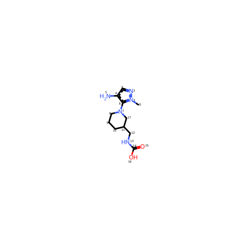 Cn1ncc(N)c1N1CCCC(CNC(=O)O)C1